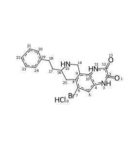 Cl.O=c1[nH]c2cc(Br)c3c(c2[nH]c1=O)CNC(CCc1ccccc1)C3